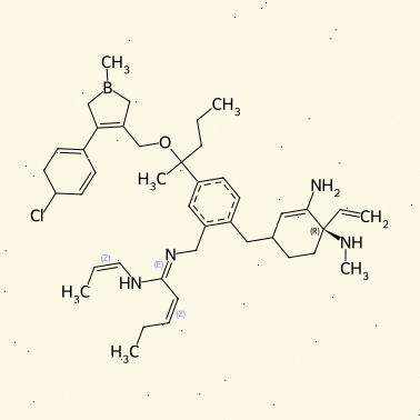 C=C[C@]1(NC)CCC(Cc2ccc(C(C)(CCC)OCC3=C(C4=CCC(Cl)C=C4)CB(C)C3)cc2C/N=C(\C=C/CC)N/C=C\C)C=C1N